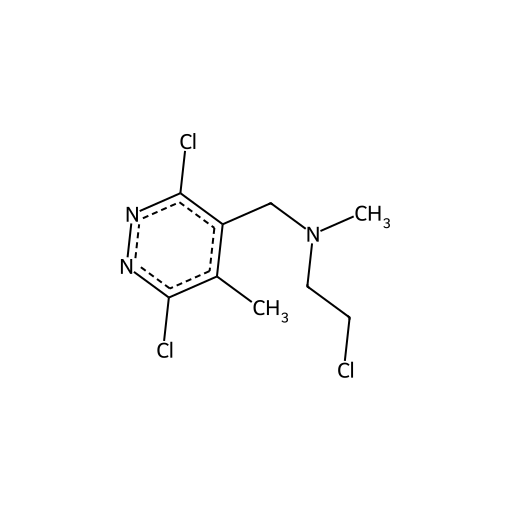 Cc1c(Cl)nnc(Cl)c1CN(C)CCCl